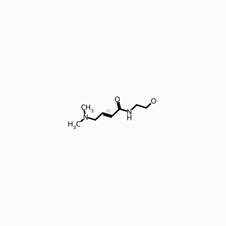 CN(C)C/C=C/C(=O)NCC[O]